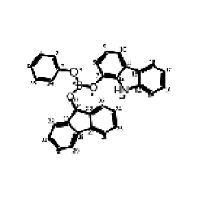 c1ccc(OB(Oc2cccc3c2[nH]c2ccccc23)OC2c3ccccc3-c3ccccc32)cc1